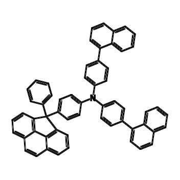 c1ccc(C2(c3ccc(N(c4ccc(-c5cccc6ccccc56)cc4)c4ccc(-c5cccc6ccccc56)cc4)cc3)c3cccc4ccc5cccc2c5c34)cc1